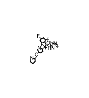 CN1N=CN(CC(O)(c2ccc(F)cc2F)C(F)(F)c2ccc(OCc3ccccn3)cn2)N1